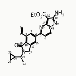 C=Cc1cc(-c2ccn3nc(N)c(C(=O)OCC)c3n2)cc2c1C(=O)N([C@@H](C)C1CC1)C2